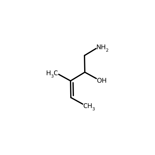 CC=C(C)C(O)CN